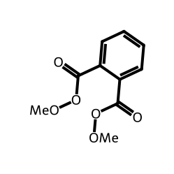 COOC(=O)c1ccccc1C(=O)OOC